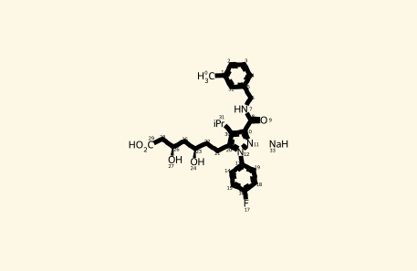 Cc1cccc(CNC(=O)c2nn(-c3ccc(F)cc3)c(CC[C@@H](O)C[C@@H](O)CC(=O)O)c2C(C)C)c1.[NaH]